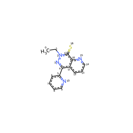 CCn1nc(-c2ccccn2)c2cccnc2c1=S